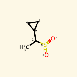 CC(C1CC1)[SH](=O)=O